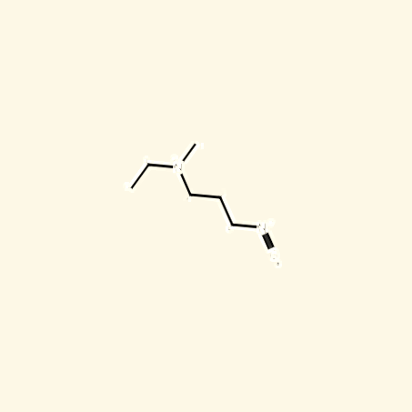 CCN(C)CCCN=O